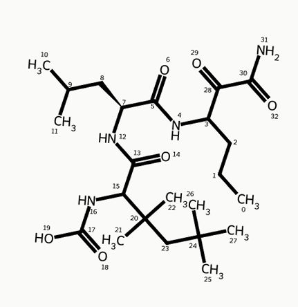 CCCC(NC(=O)[C@H](CC(C)C)NC(=O)C(NC(=O)O)C(C)(C)CC(C)(C)C)C(=O)C(N)=O